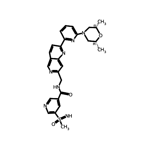 C[C@@H]1CN(c2cccc(-c3ccc4cnc(CNC(=O)c5cncc(S(C)(=N)=O)c5)cc4n3)n2)C[C@H](C)O1